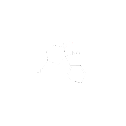 CCC1CCC(=O)C(c2ccccc2)([N+](=O)[O-])C1